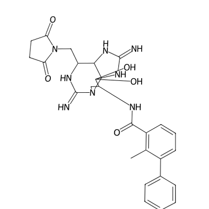 Cc1c(C(=O)NC2CN3C(=N)NC(CN4C(=O)CCC4=O)C4NC(=N)NC43C2(O)O)cccc1-c1ccccc1